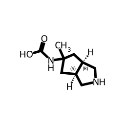 CC1(NC(=O)O)C[C@H]2CNC[C@H]2C1